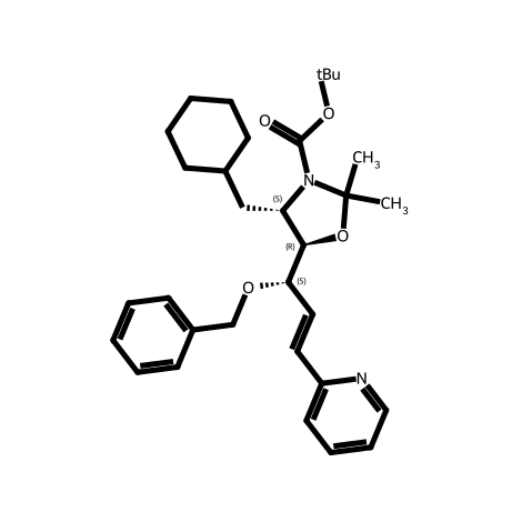 CC(C)(C)OC(=O)N1[C@@H](CC2CCCCC2)[C@H]([C@H](C=Cc2ccccn2)OCc2ccccc2)OC1(C)C